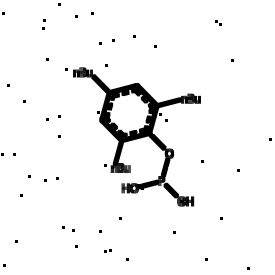 CCCCc1cc(CCCC)c(OP(O)O)c(CCCC)c1